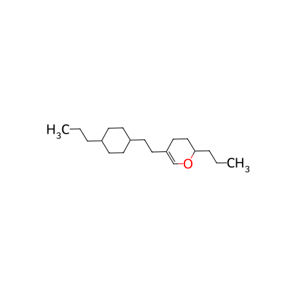 CCCC1CCC(CCC2=COC(CCC)CC2)CC1